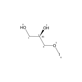 OC[C@@H](O)COI